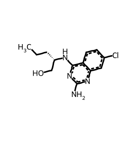 CCC[C@@H](CO)Nc1nc(N)nc2cc(Cl)ccc12